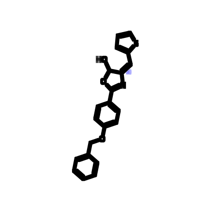 OC1OC(c2ccc(OCc3ccccc3)cc2)=N/C1=C/c1cccs1